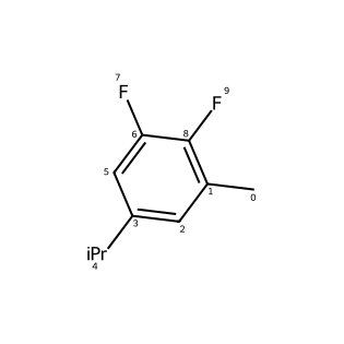 Cc1cc(C(C)C)cc(F)c1F